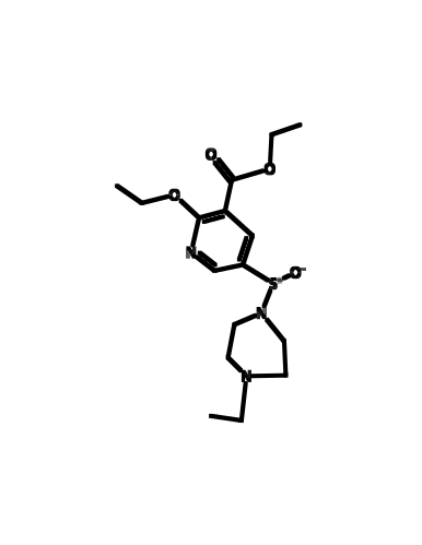 CCOC(=O)c1cc([S+]([O-])N2CCN(CC)CC2)cnc1OCC